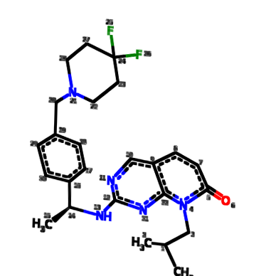 CC(C)Cn1c(=O)ccc2cnc(N[C@@H](C)c3ccc(CN4CCC(F)(F)CC4)cc3)nc21